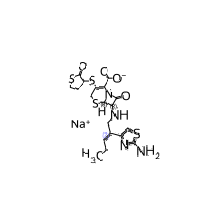 CC/C=C(/CN[C@@H]1C(=O)N2C(C(=O)[O-])=C(SC3CCSC3=O)CS[C@H]12)c1csc(N)n1.[Na+]